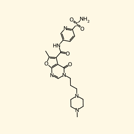 Cc1oc2ncn(CCCN3CCN(C)CC3)c(=O)c2c1C(=O)Nc1ccc(S(N)(=O)=O)nc1